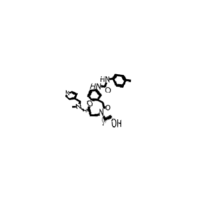 Cc1ccc(NC(=O)Nc2ccc3c(c2)CC(=O)N([C@@H](C)CO)CC[C@H](CN(C)Cc2ccncc2)O3)cc1